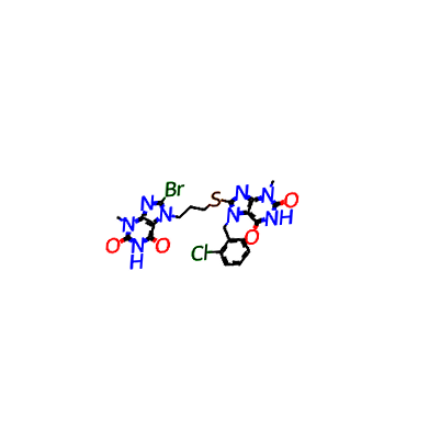 Cn1c(=O)[nH]c(=O)c2c1nc(Br)n2CCCSc1nc2c(c(=O)[nH]c(=O)n2C)n1Cc1ccccc1Cl